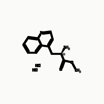 COC(=O)[C@@H](N)Cc1ccnc2ccccc12.Cl.Cl